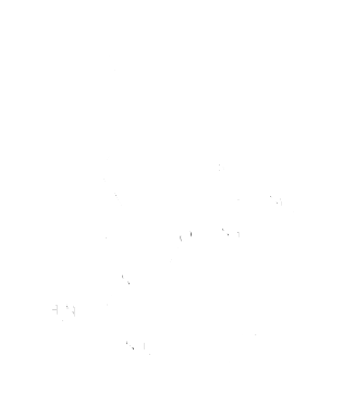 CCCCCCO[N+](=C(N)N)C(CCC(C)C)ONC(=N)N